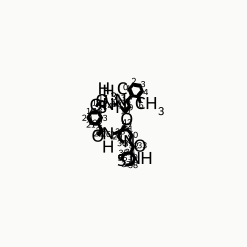 Cc1cccc(C)c1-c1cc2nc(n1)NS(=O)(=O)c1cccc(c1)C(=O)NCC1(CCN(C(=O)C3CSCCN3)CC1)CO2